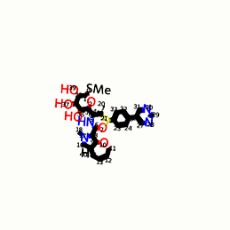 CSC1OC([C@H](NC(=O)C2C3OCC=CC[C@H]3CN2C)[C@H](C)Sc2ccc(-c3cncnc3)cc2)C(O)C(O)C1O